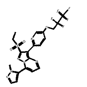 CCS(=O)(=O)c1nn2c(-c3ccnn3C)ccnc2c1-c1ccc(OCC(F)(F)C(F)(F)F)cn1